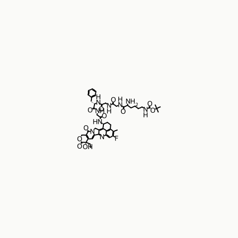 CC[C@@]1(O)C(=O)OCc2c1cc1n(c2=O)Cc2c-1nc1cc(F)c(C)c3c1c2[C@@H](NC(=O)CNC(=O)[C@H](Cc1ccccc1)NC(=O)CNC(=O)CNC(=O)C(N)CCCCNC(=O)OC(C)(C)C)CC3